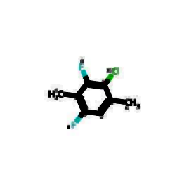 Cc1cc(F)c(C)c(F)c1Cl